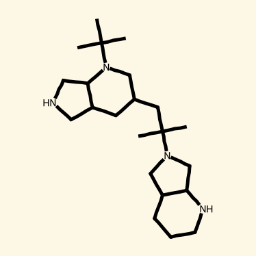 CC(C)(C)N1CC(CC(C)(C)N2CC3CCCNC3C2)CC2CNCC21